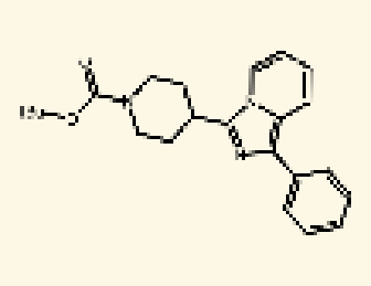 CC(C)(C)OC(=O)N1CCC(c2nc(-c3ccccc3)c3ccccn23)CC1